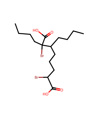 CCCCC(CCCC(Br)C(=O)O)C(Br)(CCCC)C(=O)O